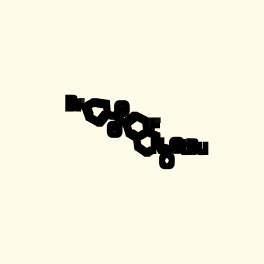 CC(C)(C)OC(=O)N1CCC2=CC(S(=O)(=O)c3ccc(Br)cc3)=CCC2(F)C1